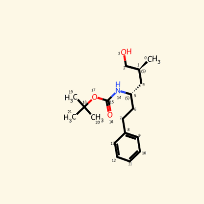 C[C@H](CO)C[C@H](CCc1ccccc1)NC(=O)OC(C)(C)C